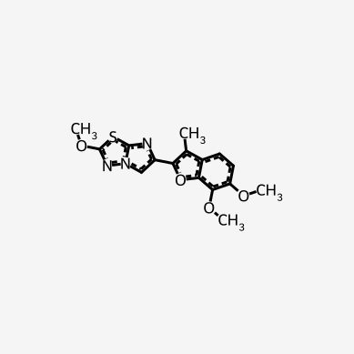 COc1nn2cc(-c3oc4c(OC)c(OC)ccc4c3C)nc2s1